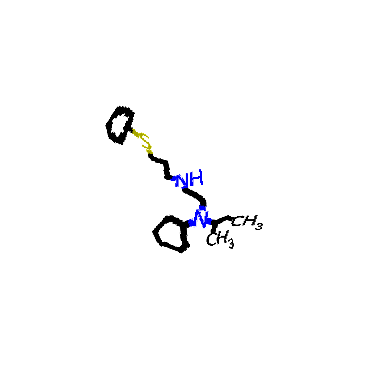 CCC(C)N(CCNCCCSc1ccccc1)C1CCCCC1